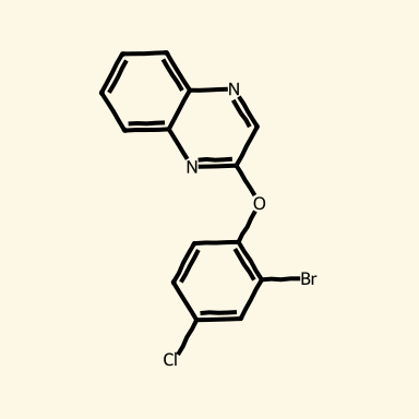 Clc1ccc(Oc2cnc3ccccc3n2)c(Br)c1